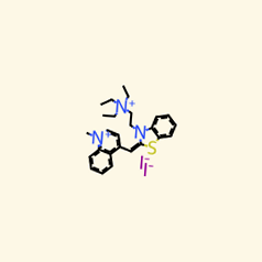 CC[N+](CC)(CC)CCN1C(=Cc2cc[n+](C)c3ccccc23)Sc2ccccc21.[I-].[I-]